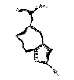 COC(=O)C1=Cc2cc(C(C)=O)sc2CC1